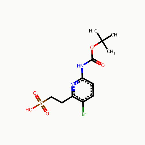 CC(C)(C)OC(=O)Nc1ccc(Br)c(CCS(=O)(=O)O)n1